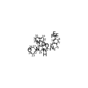 O=C(CN1CCc2ccc(C(F)(F)F)cc2C1)NC1CN(C2CCCOCC2)C[C@@H]1OC1CCc2cccnc21